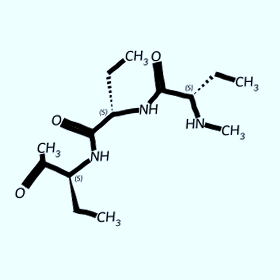 CC[C@H](NC(=O)[C@H](CC)NC(=O)[C@H](CC)NC)C(C)=O